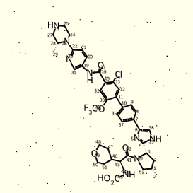 C[C@H]1C[C@@H](c2nc(-c3ccc(-c4cc(Cl)c(C(=O)Nc5ccc(N6CCNC[C@H]6C)nc5)cc4OC(F)(F)F)cc3)c[nH]2)N(C(=O)[C@@H](NC(=O)O)C2CCOCC2)C1